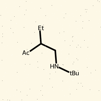 CCC(CNC(C)(C)C)C(C)=O